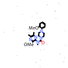 COc1ccccc1N1CCN(C(=O)N(C)c2nc(C)c(C)nc2OC)CC1